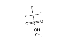 C.O=S(=O)(O)C(F)(F)F